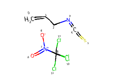 C=CCN=C=S.O=[N+]([O-])C(Cl)(Cl)Cl